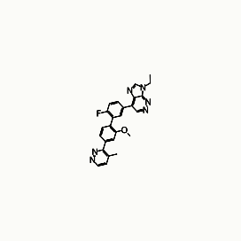 CCn1cnc2c(-c3ccc(F)c(-c4ccc(-c5nnccc5C)cc4OC)c3)cnnc21